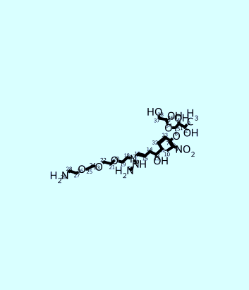 CC(O)C(O)[C@H](OC1=C([N+](=O)[O-])C[C@H]([C@@H](O)C/C=C/N(CCOCCOCCOCCN)NN)C=C1)OC(O)CO